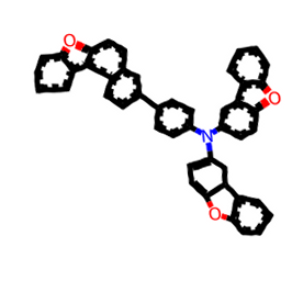 C1=C2Oc3ccccc3C2CC(N(c2ccc(-c3ccc4c(ccc5oc6ccccc6c54)c3)cc2)c2ccc3oc4ccccc4c3c2)=C1